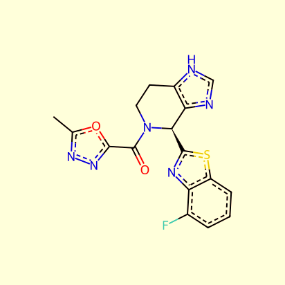 Cc1nnc(C(=O)N2CCc3[nH]cnc3[C@H]2c2nc3c(F)cccc3s2)o1